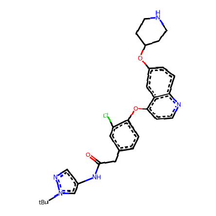 CC(C)(C)n1cc(NC(=O)Cc2ccc(Oc3ccnc4ccc(OC5CCNCC5)cc34)c(Cl)c2)cn1